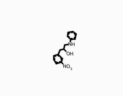 O=[N+]([O-])c1cccc(CC(O)CNc2ccccc2)c1